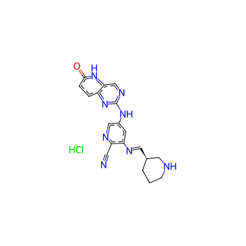 Cl.N#Cc1ncc(Nc2ncc3[nH]c(=O)ccc3n2)cc1N=C[C@@H]1CCCNC1